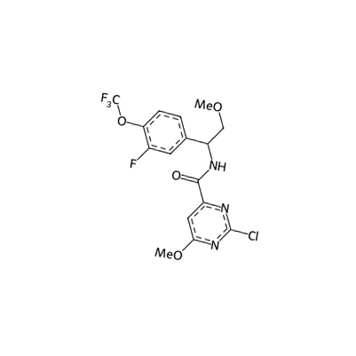 COCC(NC(=O)c1cc(OC)nc(Cl)n1)c1ccc(OC(F)(F)F)c(F)c1